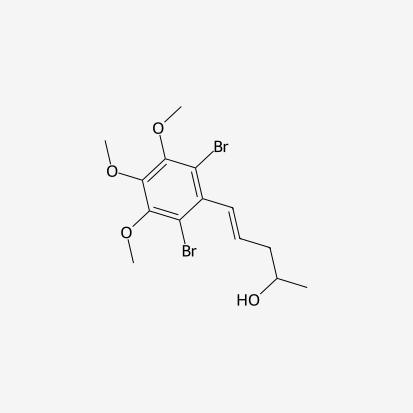 COc1c(Br)c(C=CCC(C)O)c(Br)c(OC)c1OC